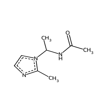 CC(=O)NC(C)n1ccnc1C